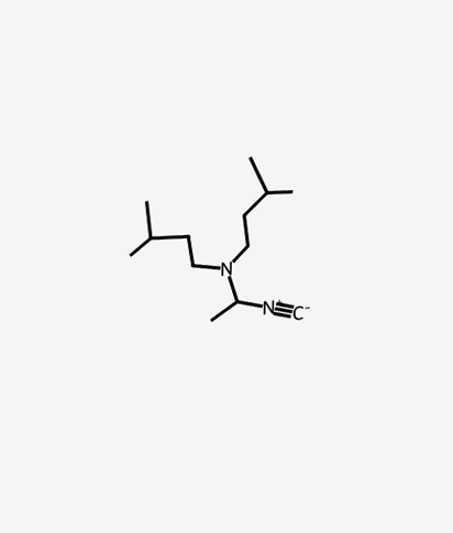 [C-]#[N+]C(C)N(CCC(C)C)CCC(C)C